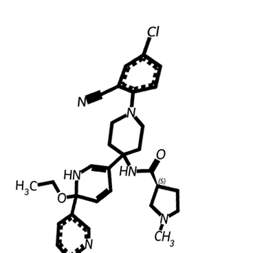 CCOC1(c2cccnc2)C=CC(C2(NC(=O)[C@H]3CCN(C)C3)CCN(c3ccc(Cl)cc3C#N)CC2)=CN1